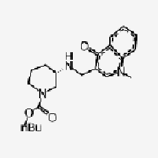 CCCCOC(=O)N1CCC[C@H](NCc2cn(C)c3ccccc3c2=O)C1